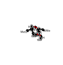 COc1ccc(COC(=O)C2=C(C[N+]34CCC(Cn5c(=O)[nH]c6cc(OCc7ccc(OC)cc7)c(OCc7ccc(OC)cc7)c(Cl)c6c5=O)(CC3)CC4)[C@H](C)S[C@@H]3[C@H](NC(=O)C(=NOC(C)(C)C(=O)OC(C)(C)C)c4csc(NC(=O)OC(C)(C)C)n4)C(=O)N23)cc1